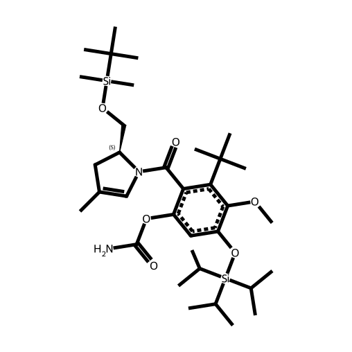 COc1c(O[Si](C(C)C)(C(C)C)C(C)C)cc(OC(N)=O)c(C(=O)N2C=C(C)C[C@H]2CO[Si](C)(C)C(C)(C)C)c1C(C)(C)C